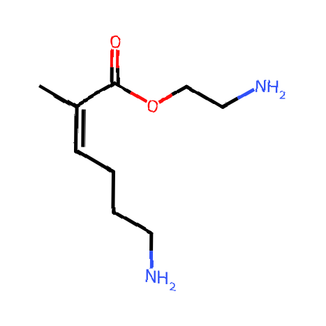 CC(=CCCCN)C(=O)OCCN